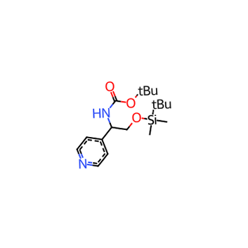 CC(C)(C)OC(=O)NC(CO[Si](C)(C)C(C)(C)C)c1ccncc1